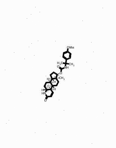 COc1ccc(C(C)(C)NC(=O)O[C@H]2CC[C@H]3[C@@H]4CC[C@H]5NC(=O)C=C[C@]5(C)[C@H]4CC[C@]23C)cc1